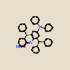 N=C/C=N/c1c(C(c2ccccc2)c2ccccc2)cc(N(c2ccccc2)c2ccccc2)cc1C(c1ccccc1)c1ccccc1